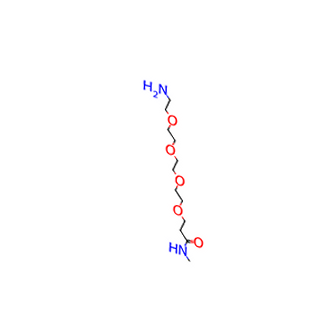 CNC(=O)CCOCCOCCOCCOCCN